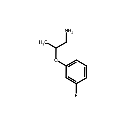 CC(CN)Oc1cccc(F)c1